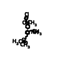 CNCc1cc(CCCOC(=O)C(C)C)ccc1[C@H]1CC[C@H](N(C)C(=O)c2ccc(Cl)cc2)CC1